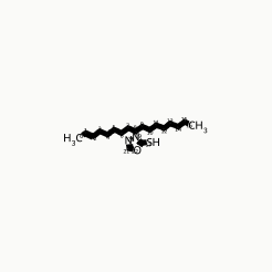 CC=CCCCCCCCCCCCCCC.Sc1nnco1